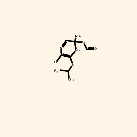 CC(C)SC1=C(Cl)N=CC(N)(OC=O)N1